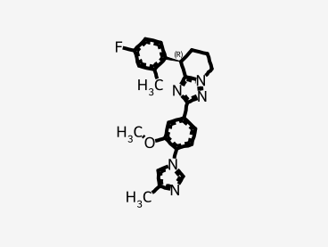 COc1cc(-c2nc3n(n2)CCC[C@@H]3c2ccc(F)cc2C)ccc1-n1cnc(C)c1